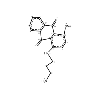 CNc1ccc(NCCCN)c2c1C(=O)c1ccccc1C2=O